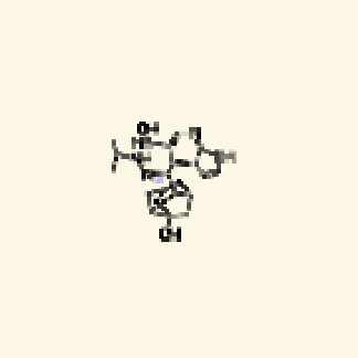 CC(C)N/N=C(\c1c(BO)cnc2[nH]ccc12)C1C2CC3CC1C(O)(C3)C2